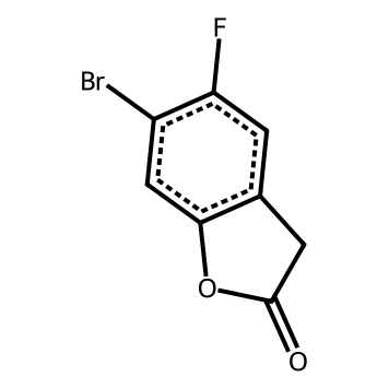 O=C1Cc2cc(F)c(Br)cc2O1